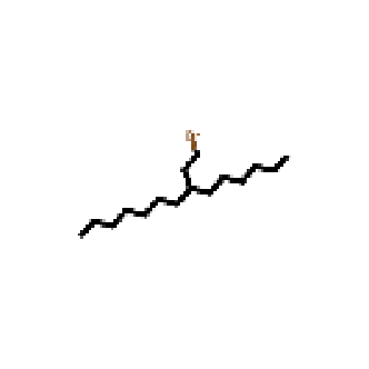 CCCCCCCC(CCBr)CCCCCC